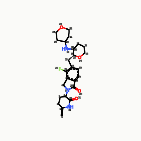 C=C1CCC(N2Cc3c(ccc(C[C@H]4OCCC[C@@H]4NC4CCOCC4)c3F)C2=O)C(=O)N1